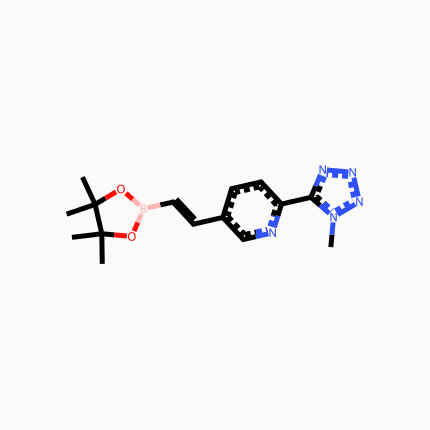 Cn1nnnc1-c1ccc(/C=C/B2OC(C)(C)C(C)(C)O2)cn1